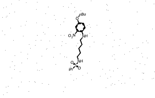 CCCCOc1ccc(NCCCCCNS(=O)(=O)C(C)C)c([N+](=O)[O-])c1